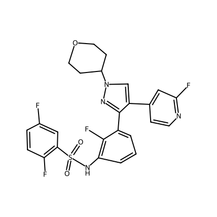 O=S(=O)(Nc1cccc(-c2nn(C3CCOCC3)cc2-c2ccnc(F)c2)c1F)c1cc(F)ccc1F